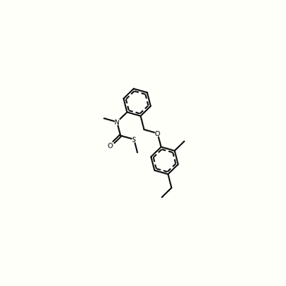 CCc1ccc(OCc2ccccc2N(C)C(=O)SC)c(C)c1